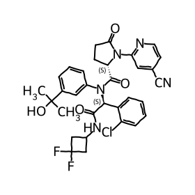 CC(C)(O)c1cccc(N(C(=O)[C@@H]2CCC(=O)N2c2cc(C#N)ccn2)[C@H](C(=O)NC2CC(F)(F)C2)c2ccccc2Cl)c1